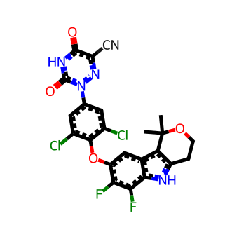 CC1(C)OCCc2[nH]c3c(F)c(F)c(Oc4c(Cl)cc(-n5nc(C#N)c(=O)[nH]c5=O)cc4Cl)cc3c21